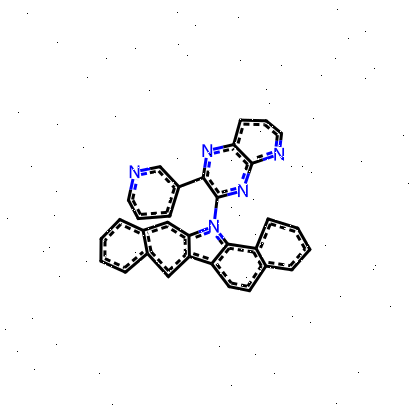 c1cncc(-c2nc3cccnc3nc2-n2c3cc4ccccc4cc3c3ccc4ccccc4c32)c1